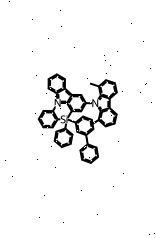 Cc1cccc2c3cccc(C)c3n(-c3cc4c5c(c3)c3ccccc3n5-c3ccccc3[Si]4(c3ccccc3)c3cccc(-c4ccccc4)c3)c12